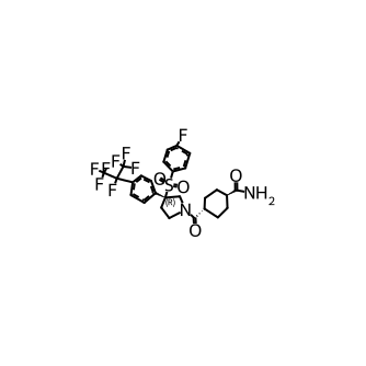 NC(=O)[C@H]1CC[C@H](C(=O)N2CC[C@](c3ccc(C(F)(C(F)(F)F)C(F)(F)F)cc3)(S(=O)(=O)c3ccc(F)cc3)C2)CC1